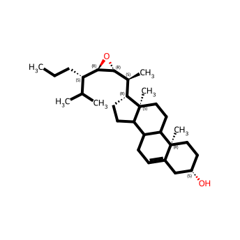 CCC[C@@H](C(C)C)[C@H]1O[C@@H]1[C@@H](C)[C@H]1CCC2C3CC=C4C[C@@H](O)CC[C@]4(C)C3CC[C@@]21C